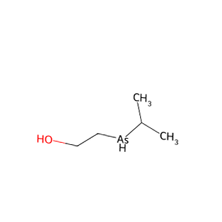 CC(C)[AsH]CCO